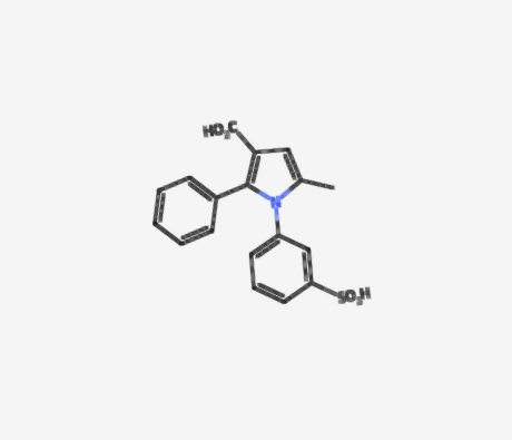 Cc1cc(C(=O)O)c(-c2ccccc2)n1-c1cccc(S(=O)(=O)O)c1